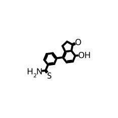 NC(=S)c1cccc(C2=C3CCC(=O)C3C(O)C=C2)c1